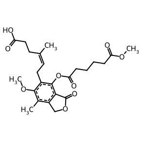 COC(=O)CCCCC(=O)Oc1c(CC=C(C)CCC(=O)O)c(OC)c(C)c2c1C(=O)OC2